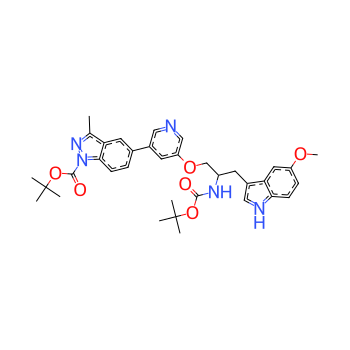 COc1ccc2[nH]cc(CC(COc3cncc(-c4ccc5c(c4)c(C)nn5C(=O)OC(C)(C)C)c3)NC(=O)OC(C)(C)C)c2c1